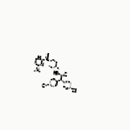 CN(C)c1ccnc(NC2CCC(CNC(=O)C(c3ccc(Cl)cc3)c3ccc(Cl)cc3)CC2)n1